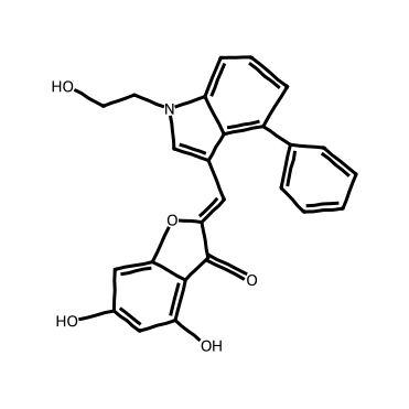 O=C1/C(=C/c2cn(CCO)c3cccc(-c4ccccc4)c23)Oc2cc(O)cc(O)c21